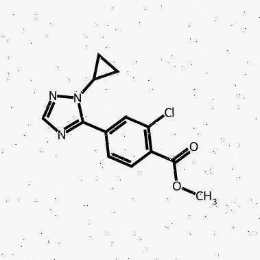 COC(=O)c1ccc(-c2ncnn2C2CC2)cc1Cl